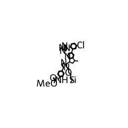 COC(=O)Nc1ccc(-c2cnc(C3CC(C)c4cc(-c5cc(Cl)ccc5-n5cnnn5)cnc43)n2COCC[Si](C)(C)C)cc1